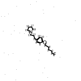 FCCCCCOc1ccc(CCCN2CCCC2)cc1